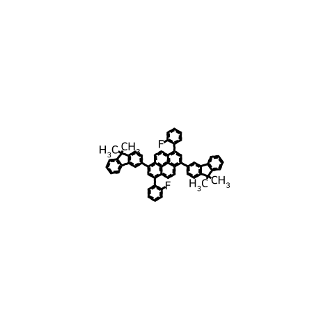 CC1(C)c2ccccc2-c2cc(-c3cc(-c4ccccc4F)c4ccc5c(-c6ccc7c(c6)-c6ccccc6C7(C)C)cc(-c6ccccc6F)c6ccc3c4c56)ccc21